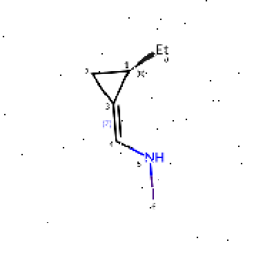 CC[C@@H]1C/C1=C/NI